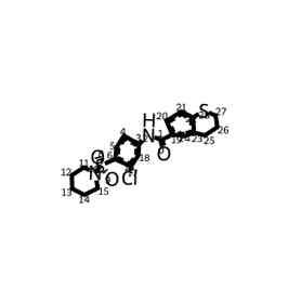 O=C(Nc1ccc(S(=O)(=O)N2CCCCC2)c(Cl)c1)c1ccc2c(c1)CCCS2